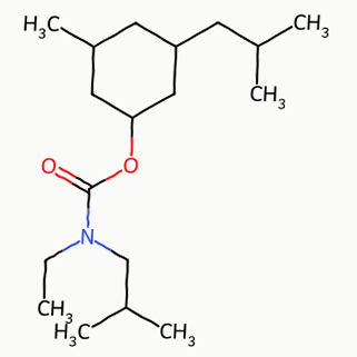 CCN(CC(C)C)C(=O)OC1CC(C)CC(CC(C)C)C1